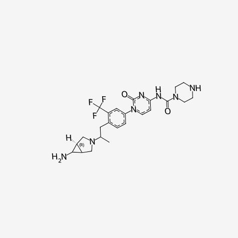 CC(Cc1ccc(-n2ccc(NC(=O)N3CCNCC3)nc2=O)cc1C(F)(F)F)N1CC2C(N)[C@H]2C1